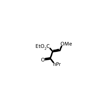 CCCC(=O)C(=COC)C(=O)OCC